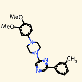 COc1ccc(N2CCN(c3cncc(-c4cccc(C)c4)n3)CC2)cc1OC